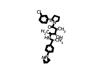 C=C(N[C@H](C)c1ccc(-n2cccn2)cc1)[C@H](O)[C@@H](C)C(=O)N1CCC[C@@H]1c1cccc(Cl)c1